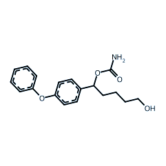 NC(=O)OC(CCCCO)c1ccc(Oc2ccccc2)cc1